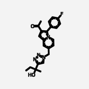 CCC(C)(O)c1cn(Cc2ccn3c(-c4ccc(F)cc4)c(C(C)=O)cc3c2)nn1